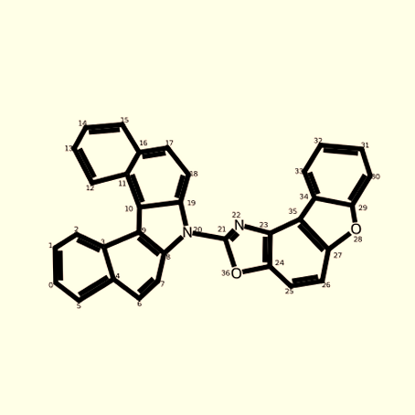 c1ccc2c(c1)ccc1c2c2c3ccccc3ccc2n1-c1nc2c(ccc3oc4ccccc4c32)o1